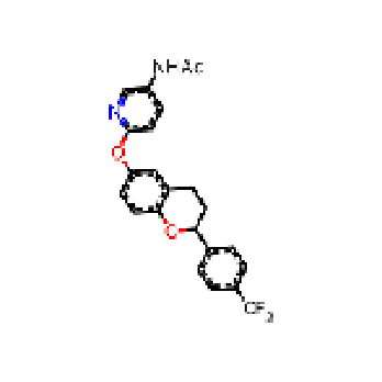 CC(=O)Nc1ccc(Oc2ccc3c(c2)CCC(c2ccc(C(F)(F)F)cc2)O3)nc1